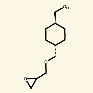 OC[C@H]1CC[C@H](COCC2CO2)CC1